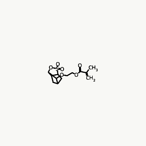 C=C(C)C(=O)OCCOC1C2CC3C1OS(=O)(=O)C3C2